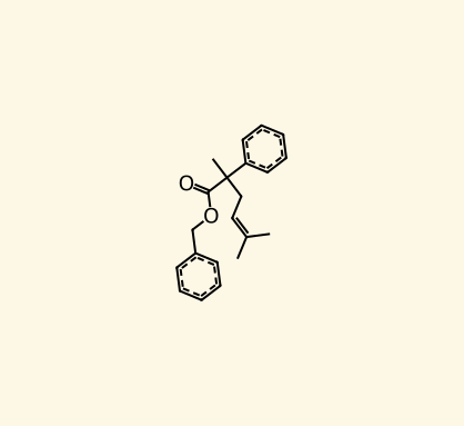 CC(C)=CCC(C)(C(=O)OCc1ccccc1)c1ccccc1